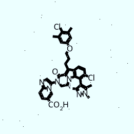 Cc1cc(OCCCc2c3n(c4c(-c5c(C)nn(C)c5C)c(Cl)ccc24)[C@H](C)CN(c2cnc4ccc(C(=O)O)cn24)C3=O)cc(C)c1Cl